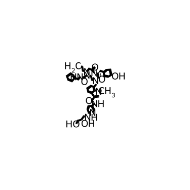 C=CCN1CC(=O)N2C(CN(Cc3cccc4c(C(=O)Nc5ccc(NCC(O)CO)nc5)cn(C)c34)C(=O)[C@@H]2Cc2ccc(O)cc2)N1C(=O)NCc1ccccc1